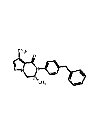 C[C@H]1Cn2ncc(C(=O)O)c2C(=O)N1c1ccc(Cc2ccccc2)cc1